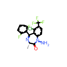 C[C@@H]1N=C(c2c(F)cccc2F)c2c(ccc(C(F)(F)F)c2Cl)N(N)C1=O